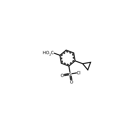 O=C(O)c1ccc(C2CC2)c(S(=O)(=O)Cl)c1